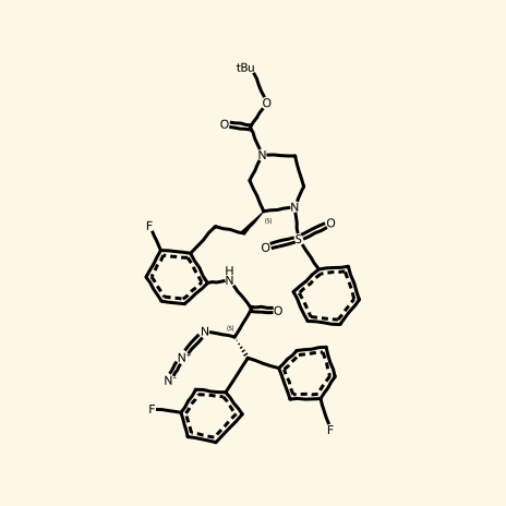 CC(C)(C)OC(=O)N1CCN(S(=O)(=O)c2ccccc2)[C@@H](CCc2c(F)cccc2NC(=O)[C@@H](N=[N+]=[N-])C(c2cccc(F)c2)c2cccc(F)c2)C1